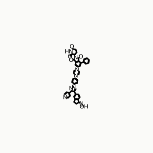 O=C1CCC(N2C(=O)c3cc(N4CCN(c5ccc(-n6cc(-c7ccc8c(c7)CCC8=NO)c(-c7ccncc7)n6)cc5)CC4)cc(-c4ccccc4)c3C2=O)C(=O)N1